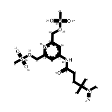 CS(=S)C(C)(C)CCC(=O)Nc1cc(COS(C)(=O)=O)nc(COS(C)(=O)=O)c1